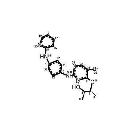 C[C@@H](O)[C@@H](C)Oc1nc(Nc2ccc(Nc3ccccn3)cc2)ncc1Br